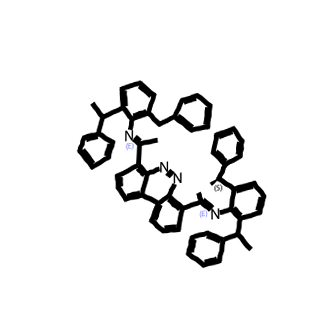 C/C(=N\c1c(Cc2ccccc2)cccc1C(C)c1ccccc1)c1cccc2c1nnc1c(/C(C)=N/c3c(C(C)c4ccccc4)cccc3[C@@H](C)c3ccccc3)cccc12